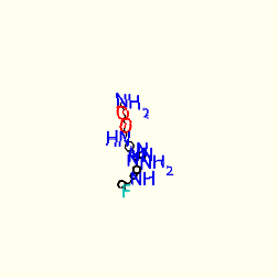 NCCOCCOCCNC1CCC(n2nc(-c3ccc4[nH]c(Cc5ccccc5F)cc4c3)c3c(N)ncnc32)CC1